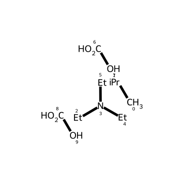 CC(C)C.CCN(CC)CC.O=C(O)O.O=C(O)O